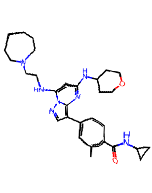 Cc1cc(-c2cnn3c(NCCN4CCCCCC4)cc(NC4CCOCC4)nc23)ccc1C(=O)NC1CC1